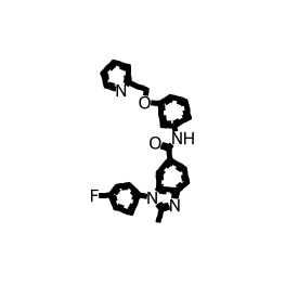 Cc1nc2ccc(C(=O)Nc3cccc(OCc4ccccn4)c3)cc2n1-c1ccc(F)cc1